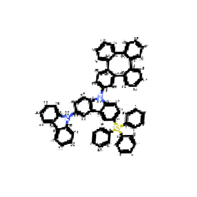 c1ccc(S(c2ccccc2)(c2ccccc2)c2ccc3c(c2)c2cc(-n4c5ccccc5c5ccccc54)ccc2n3-c2ccc3c(c2)-c2ccccc2-c2ccccc2-c2ccccc2-3)cc1